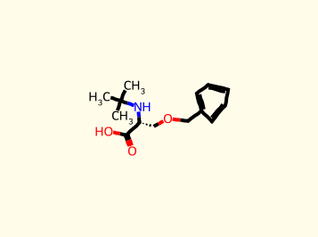 CC(C)(C)N[C@H](COCc1ccccc1)C(=O)O